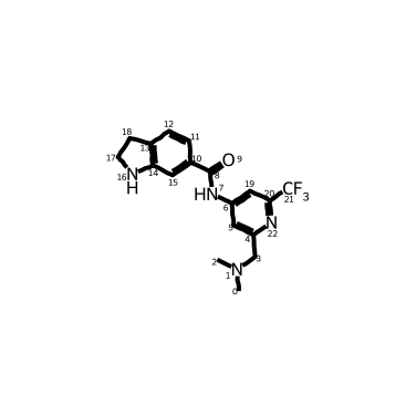 CN(C)Cc1cc(NC(=O)c2ccc3c(c2)NCC3)cc(C(F)(F)F)n1